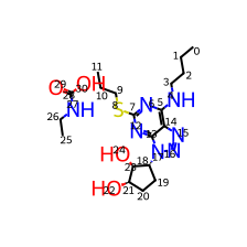 CCCCNc1nc(SCCC)nc2c1nnn2[C@@H]1CC[C@@H](O)[C@H]1O.CCNC(=O)O